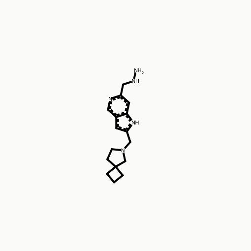 NNCc1cc2[nH]c(CN3CCC4(CCC4)C3)cc2cn1